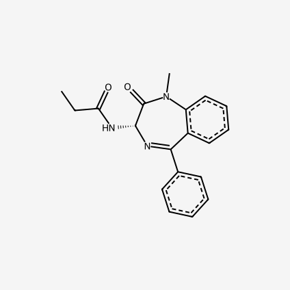 CCC(=O)N[C@H]1N=C(c2ccccc2)c2ccccc2N(C)C1=O